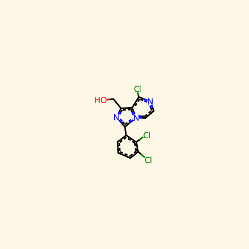 OCc1nc(-c2cccc(Cl)c2Cl)n2ccnc(Cl)c12